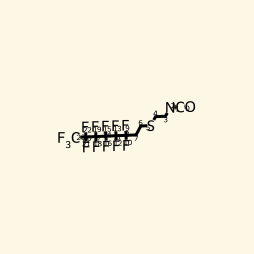 O=C=NCCSCCC(F)(F)C(F)(F)C(F)(F)C(F)(F)C(F)(F)C(F)(F)F